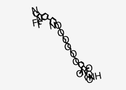 O=C1c2ccc(OCCOCCOCCOCCOCCOc3ccc(-c4ccc5c6cnccc6n(C(F)F)c5c4)cn3)cc2C(=O)N1C1CCONO1